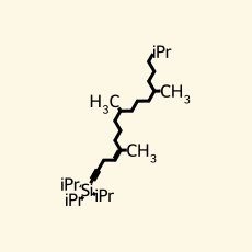 CC(=CCC#C[Si](C(C)C)(C(C)C)C(C)C)CCCC(C)CCCC(C)CCCC(C)C